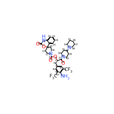 Nc1c(C(F)(F)F)cc(C[C@@H](OC(=O)N2CCC3(CC2)OC(=O)Nc2ccccc23)C(=O)N2CCC(N3CCCCC3)CC2)cc1C(F)(F)F